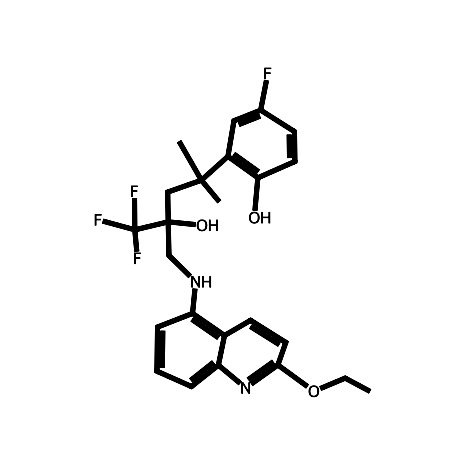 CCOc1ccc2c(NCC(O)(CC(C)(C)c3cc(F)ccc3O)C(F)(F)F)cccc2n1